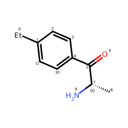 CCc1ccc(C(=O)[C@H](C)N)cc1